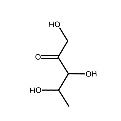 CC(O)C(O)C(=O)CO